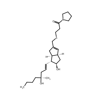 CCCC[C@](C)(O)C/C=C/[C@@H]1[C@H]2CC(CSCCC(=O)N3CCCC3)=C[C@H]2C[C@H]1O